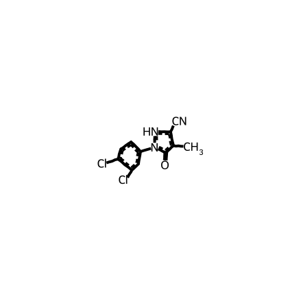 Cc1c(C#N)[nH]n(-c2ccc(Cl)c(Cl)c2)c1=O